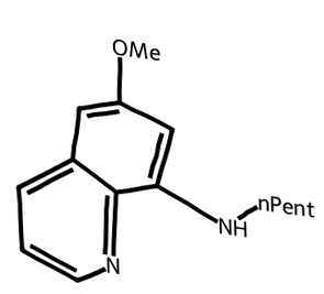 CCCCCNc1cc(OC)cc2cccnc12